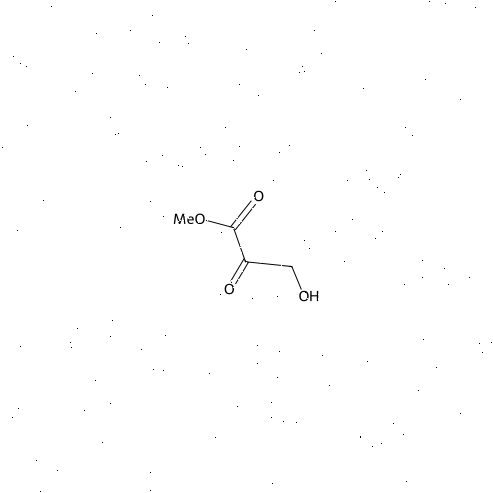 COC(=O)C(=O)CO